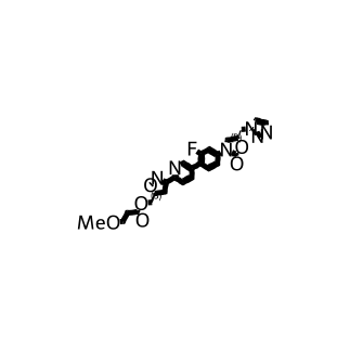 COCCC(=O)OC[C@@H]1CC(c2ccc(-c3ccc(N4C[C@H](Cn5ccnn5)OC4=O)cc3F)cn2)=NO1